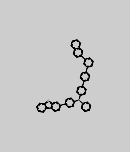 c1ccc(N(c2ccc(-c3ccc(-c4cccc(-c5ccc6ccccc6c5)c4)cc3)cc2)c2ccc(-c3ccc4c(c3)sc3ccccc34)cc2)cc1